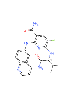 CC(C)[C@@H](Nc1nc(Nc2ccc3ncccc3c2)c(C(N)=O)cc1F)C(N)=O